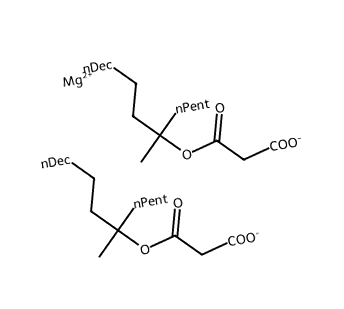 CCCCCCCCCCCCC(C)(CCCCC)OC(=O)CC(=O)[O-].CCCCCCCCCCCCC(C)(CCCCC)OC(=O)CC(=O)[O-].[Mg+2]